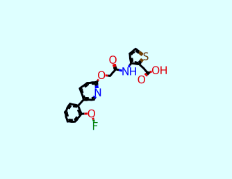 O=C(COc1ccc(-c2ccccc2OF)cn1)Nc1ccsc1C(=O)O